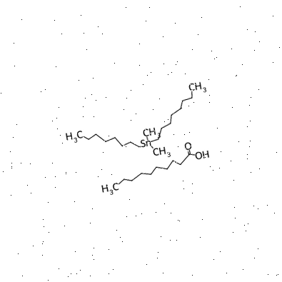 CCCCCCCCCC(=O)O.CCCCCCC[CH2][Sn]([CH3])([CH3])[CH2]CCCCCCC